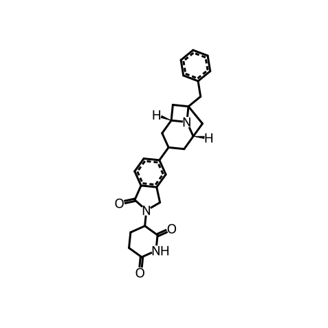 O=C1CCC(N2Cc3cc(C4C[C@@H]5CC6(Cc7ccccc7)C[C@H](C4)N56)ccc3C2=O)C(=O)N1